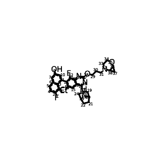 CCc1c(F)ccc2cc(O)cc(-c3c(Cl)cc4c(N5CC6CCC(C5)N6)nc(OCCCN5CCOC6CC65)nc4c3F)c12